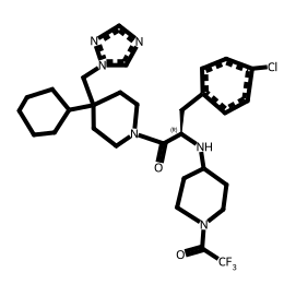 O=C([C@@H](Cc1ccc(Cl)cc1)NC1CCN(C(=O)C(F)(F)F)CC1)N1CCC(Cn2cncn2)(C2CCCCC2)CC1